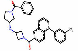 O=C(c1ccc2c(-c3cccc(C(F)(F)F)c3)cccc2c1)N1CC(N[C@H]2CCN(C(=O)c3ccccc3)C2)C1